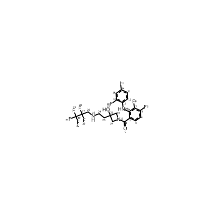 O=C(c1ccc(F)c(F)c1Nc1ccc(I)cc1F)N1CC(O)(CCNCC(F)(F)C(F)(F)F)C1